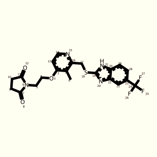 Cc1c(OCCN2C(=O)CCC2=O)ccnc1CSc1nc2cc(C(F)(F)F)ccc2[nH]1